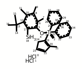 Cl.Cl.[CH2]=[Ti]([O]c1c(C)c(C)c(C)c(C(C)(C)C)c1[SiH3])([C]1=C(C)C=CC1)([c]1ccccc1)[c]1ccccc1